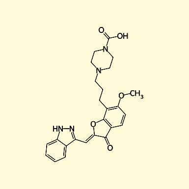 COc1ccc2c(c1CCCN1CCN(C(=O)O)CC1)OC(=Cc1n[nH]c3ccccc13)C2=O